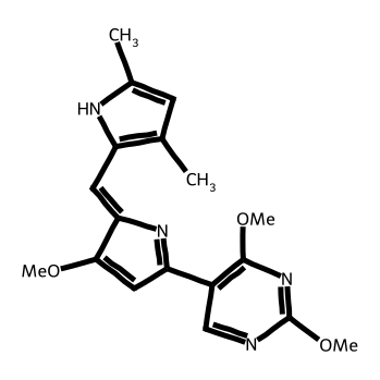 COC1=CC(c2cnc(OC)nc2OC)=NC1=Cc1[nH]c(C)cc1C